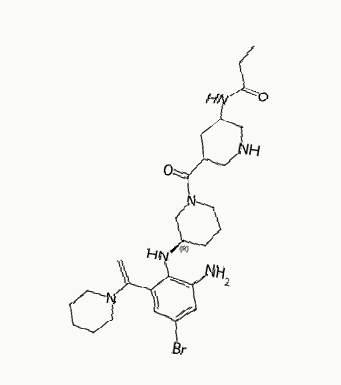 C=C(c1cc(Br)cc(N)c1N[C@@H]1CCCN(C(=O)C2CNCC(NC(=O)CC)C2)C1)N1CCCCC1